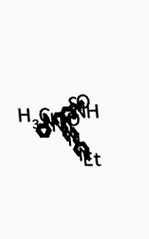 CCN1CCC(N2CCN(c3nc(C=C4SC(=O)NC4=O)cc(N(C)c4ccccc4)n3)CC2)CC1